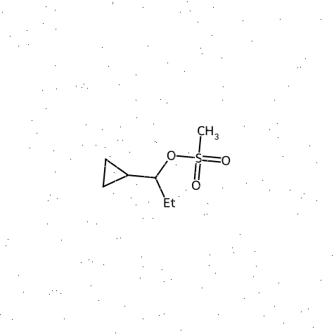 CCC(OS(C)(=O)=O)C1CC1